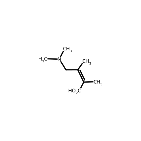 CC(CN(C)C)=C(C)C(=O)O